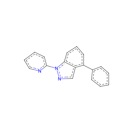 c1ccc(-c2cccc3c2cnn3-c2ccccn2)cc1